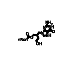 CCCCCCCCCC(=O)OCC(CCO)CN1CNc2c1nc(N)[nH]c2=O